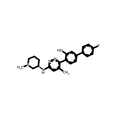 Cc1cc(N[C@@H]2CCCN(C)C2)nnc1-c1ccc(-c2ccc(F)cc2)cc1O